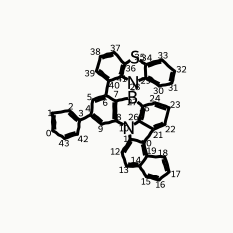 c1ccc(-c2cc3c4c(c2)-n2c5ccc6ccccc6c5c5cccc(c52)B4N2c4ccccc4Sc4cccc-3c42)cc1